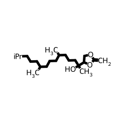 C=C1OCC(C(C)(O)CCCC(C)CCCC(C)CCCC(C)C)O1